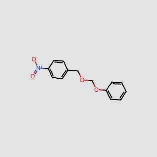 O=[N+]([O-])c1ccc(CO[CH]Oc2ccccc2)cc1